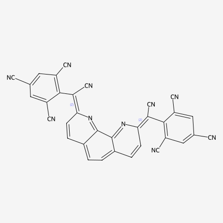 N#C/C(c1c(C#N)cc(C#N)cc1C#N)=c1/ccc2ccc3cc/c(=C(/C#N)c4c(C#N)cc(C#N)cc4C#N)nc3c2n1